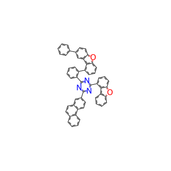 c1ccc(-c2ccc3oc4cccc(-c5ccccc5-c5nc(-c6ccc7c(ccc8ccccc87)c6)nc(-c6cccc7oc8ccccc8c67)n5)c4c3c2)cc1